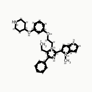 CCc1c(-c2ccccc2)nc(-c2cc3sccc3n2C)n1CCOc1cccc(OC2CCNCC2)c1